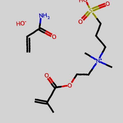 C=C(C)C(=O)OCC[N+](C)(C)CCCS(=O)(=O)O.C=CC(N)=O.[OH-]